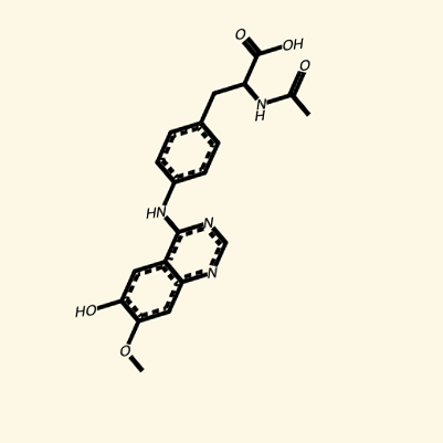 COc1cc2ncnc(Nc3ccc(CC(NC(C)=O)C(=O)O)cc3)c2cc1O